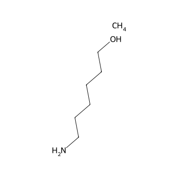 C.NCCCCCCO